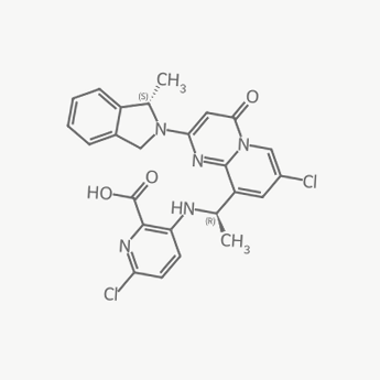 C[C@@H](Nc1ccc(Cl)nc1C(=O)O)c1cc(Cl)cn2c(=O)cc(N3Cc4ccccc4[C@@H]3C)nc12